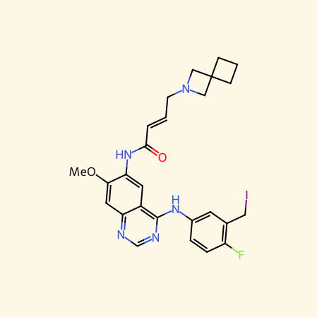 COc1cc2ncnc(Nc3ccc(F)c(CI)c3)c2cc1NC(=O)/C=C/CN1CC2(CCC2)C1